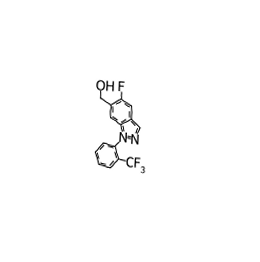 OCc1cc2c(cnn2-c2ccccc2C(F)(F)F)cc1F